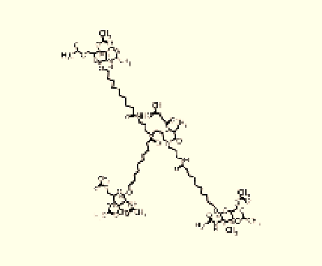 CCC(OC(=O)CCC(=O)O)C(=O)N(CCCNC(=O)CCCCCCCCCO[C@@H]1OC(COC(C)=O)[C@H](OC(C)=O)[C@H](C)C1NC(C)=O)CCCN(CCCNC(=O)CCCCCCCCCO[C@@H]1OC(COC(C)=O)[C@H](OC(C)=O)[C@H](C)C1NC(C)=O)C(=O)CCCCCCCCCO[C@@H]1OC(COC(C)=O)[C@H](OC(C)=O)[C@H](C)C1NC(C)=O